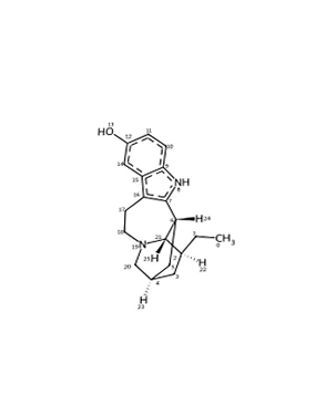 CC[C@H]1C[C@@H]2C[C@H]3c4[nH]c5ccc(O)cc5c4CCN(C2)[C@@H]13